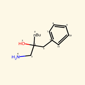 CCCCC(O)(CN)Cc1ccccc1